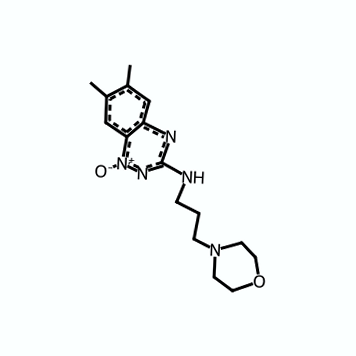 Cc1cc2nc(NCCCN3CCOCC3)n[n+]([O-])c2cc1C